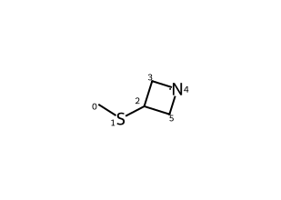 CSC1C[N]C1